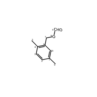 Cc1ccc(C)c(COC=O)c1